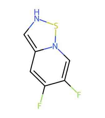 FC1=CC2=CNSN2C=C1F